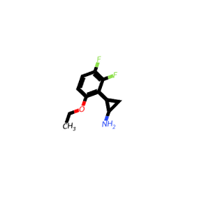 CCOc1ccc(F)c(F)c1C1CC1N